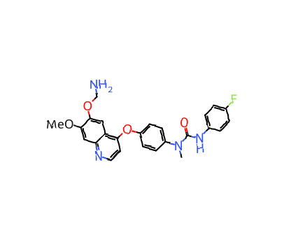 COc1cc2nccc(Oc3ccc(N(C)C(=O)Nc4ccc(F)cc4)cc3)c2cc1OCN